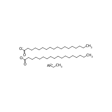 CCCCCCCCCCCCCCCCCC(=O)[O-].CCCCCCCCCCCCCCCCCC(=O)[O-].C[CH2][Al+2]